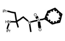 CC(C)CC(C)(CN(C)S(=O)(=O)c1ccccc1)NC(C)C